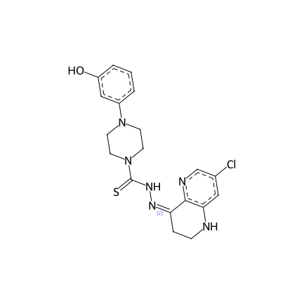 Oc1cccc(N2CCN(C(=S)N/N=C3/CCNc4cc(Cl)cnc43)CC2)c1